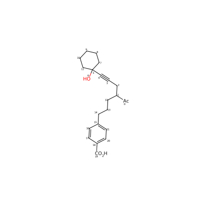 CC(=O)C(CC#CC1(O)CCCCC1)CCCc1ccc(C(=O)O)cc1